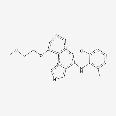 COCCOc1cccc2nc(Nc3c(C)cccc3Cl)c3cncn3c12